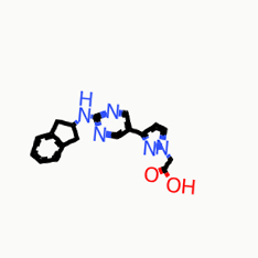 O=C(O)Cn1ccc(-c2cnc(NC3Cc4ccccc4C3)nc2)n1